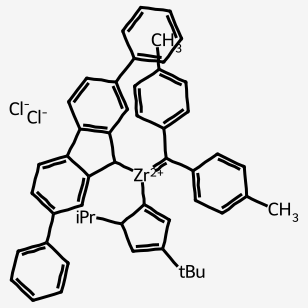 Cc1ccc([C](c2ccc(C)cc2)=[Zr+2]([C]2=CC(C(C)(C)C)=CC2C(C)C)[CH]2c3cc(-c4ccccc4)ccc3-c3ccc(-c4ccccc4)cc32)cc1.[Cl-].[Cl-]